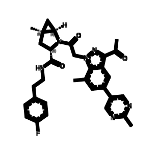 CC(=O)c1nn(CC(=O)N2[C@H](C(=O)NCCc3ccc(F)cc3)C[C@@]3(C)C[C@@H]23)c2c(C)cc(-c3cnc(C)nc3)cc12